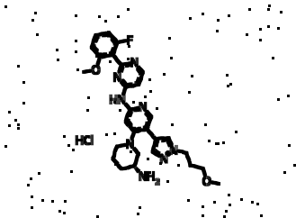 COCCCn1cc(-c2cnc(Nc3ccnc(-c4c(F)cccc4OC)n3)cc2N2CCC[C@H](N)C2)cn1.Cl